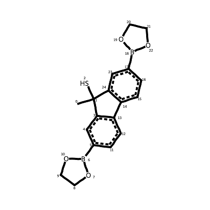 CC1(S)c2cc(B3OCCO3)ccc2-c2ccc(B3OCCO3)cc21